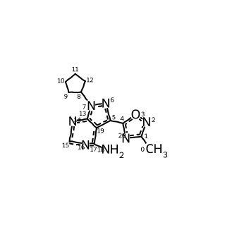 Cc1noc(-c2nn(C3CCCC3)c3ncnc(N)c23)n1